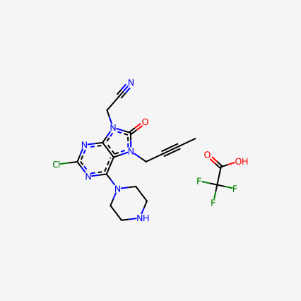 CC#CCn1c(=O)n(CC#N)c2nc(Cl)nc(N3CCNCC3)c21.O=C(O)C(F)(F)F